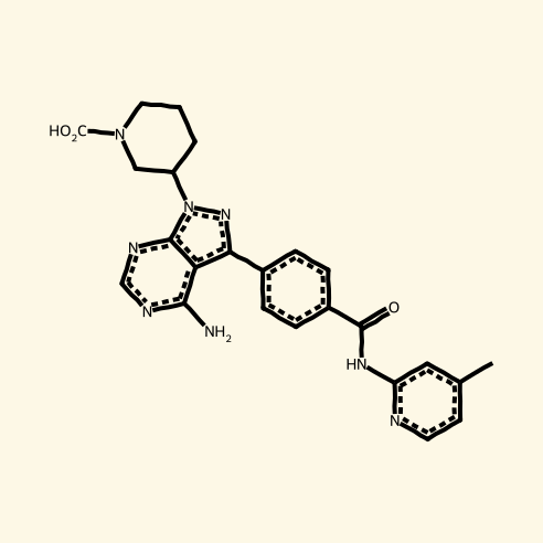 Cc1ccnc(NC(=O)c2ccc(-c3nn(C4CCCN(C(=O)O)C4)c4ncnc(N)c34)cc2)c1